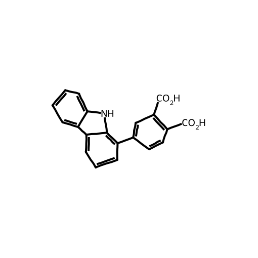 O=C(O)c1ccc(-c2cccc3c2[nH]c2ccccc23)cc1C(=O)O